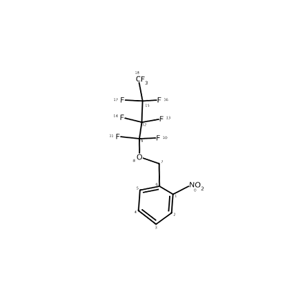 O=[N+]([O-])c1ccccc1COC(F)(F)C(F)(F)C(F)(F)C(F)(F)F